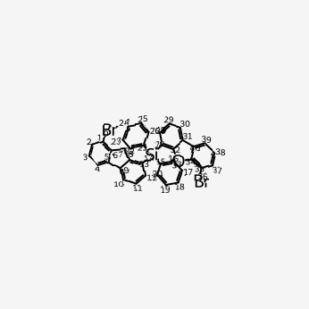 Brc1cccc2c1Cc1c-2cccc1[Si](c1ccccc1)(c1ccccc1)c1cccc2c1oc1c(Br)cccc12